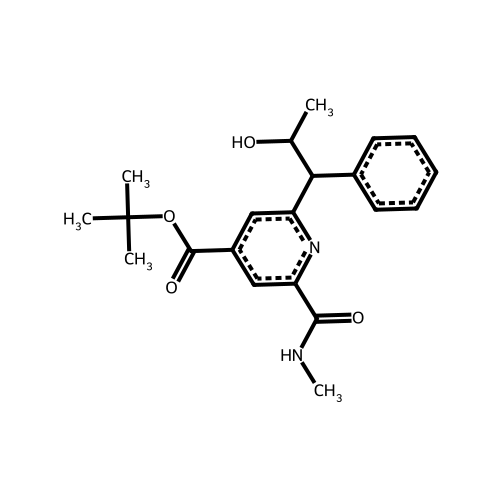 CNC(=O)c1cc(C(=O)OC(C)(C)C)cc(C(c2ccccc2)C(C)O)n1